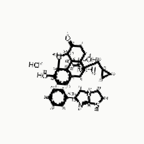 Cl.O=C1CC[C@@]2(O)[C@H]3Cc4ccc(O)c5c4[C@@]2(CCN3CC2CC2)[C@H]1O5.c1ccc([C@H]2CN3CCSC3=N2)cc1